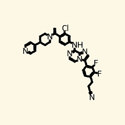 C=C(c1ccc(Nc2nccn3c(-c4ccc(CCC#N)c(F)c4F)cnc23)cc1Cl)N1CCC(c2ccncc2)CC1